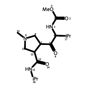 COC(=O)NC(C(=O)C1CN(C)CC1C(=O)NC(C)C)C(C)C